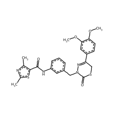 COc1ccc(C2=NN(Cc3cccc(NC(=O)c4sc(C)nc4C)c3)C(=O)SC2)cc1OC